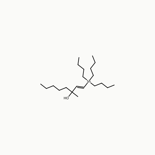 CCCCCC(C)(O)/C=[CH]/[Sn]([CH2]CCC)([CH2]CCC)[CH2]CCC